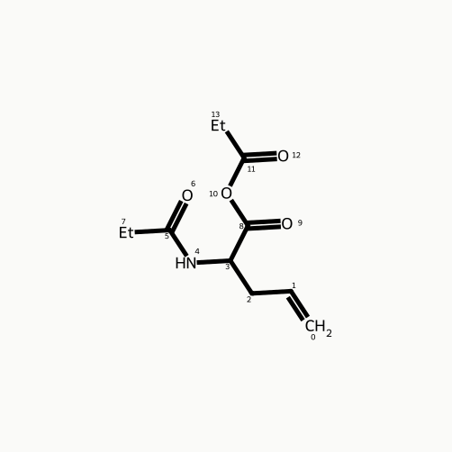 C=CCC(NC(=O)CC)C(=O)OC(=O)CC